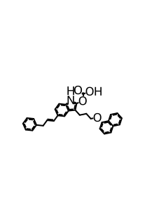 O=C(O)Oc1[nH]c2ccc(/C=C/Cc3ccccc3)cc2c1CCCOc1cccc2ccccc12